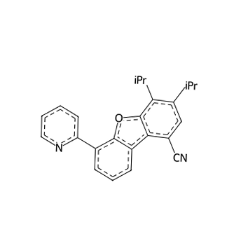 CC(C)c1cc(C#N)c2c(oc3c(-c4ccccn4)cccc32)c1C(C)C